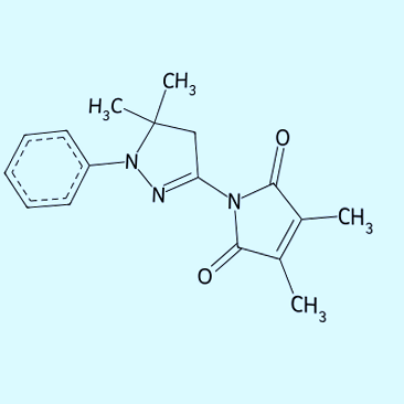 CC1=C(C)C(=O)N(C2=NN(c3ccccc3)C(C)(C)C2)C1=O